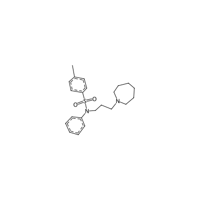 Cc1ccc(S(=O)(=O)N(CCCN2CCCCCC2)c2ccccc2)cc1